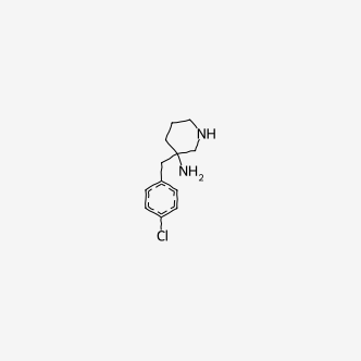 NC1(Cc2ccc(Cl)cc2)CCCNC1